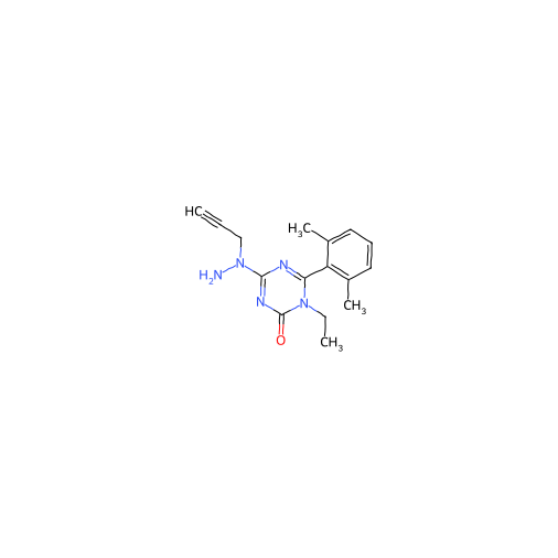 C#CCN(N)c1nc(-c2c(C)cccc2C)n(CC)c(=O)n1